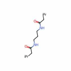 CC(C)CC(=O)NCCCNC(=O)CC(C)C